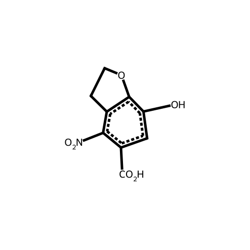 O=C(O)c1cc(O)c2c(c1[N+](=O)[O-])CCO2